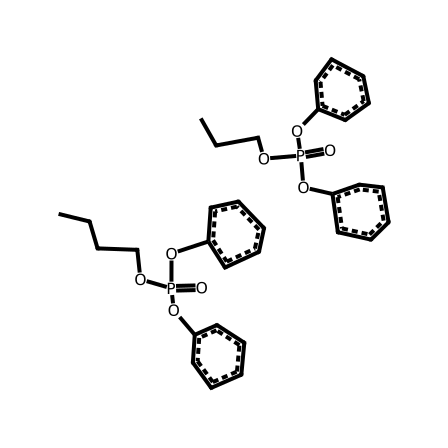 CCCCOP(=O)(Oc1ccccc1)Oc1ccccc1.CCCOP(=O)(Oc1ccccc1)Oc1ccccc1